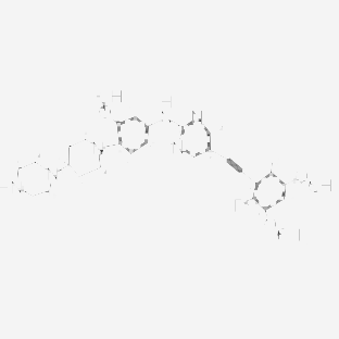 COc1cc(Nc2ncc(C#Cc3c(F)c(OC)cc(OC)c3F)cn2)ccc1N1CCC(N2CCNCC2)CC1